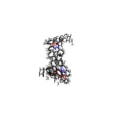 C[Si](C)(C)c1ccc(N(c2ccc3c(c2)C2(c4ccccc4-c4cc5c6ccccc6c6ccccc6c5cc42)c2cc4c(cc2-3)Cc2ccc3c(oc5c(C(F)(F)F)cccc53)c2N4c2ccc([Si](C)(C)C)cc2)c2cccc3c2oc2c(C(F)(F)F)cccc23)cc1